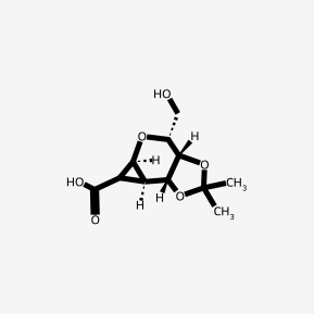 CC1(C)O[C@@H]2[C@H](O1)[C@H]1C(C(=O)O)[C@H]1O[C@@H]2CO